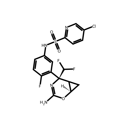 NC1=N[C@@](c2cc(NS(=O)(=O)c3ccc(Cl)cn3)ccc2F)(C(F)F)C2C[C@H]2O1